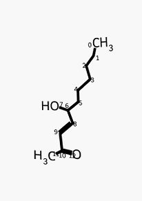 CCCCCCC(O)/C=C/C(C)=O